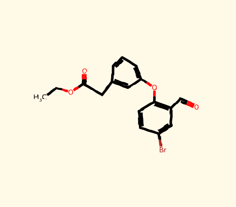 CCOC(=O)Cc1cccc(Oc2ccc(Br)cc2C=O)c1